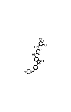 CN1CCN(Cc2ccc(-c3n[nH]c4cc(NC(=O)CC(=O)Nc5cc(Cl)cc(C(F)(F)F)c5)ccc34)cc2)CC1